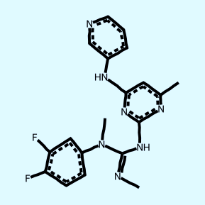 C/N=C(\Nc1nc(C)cc(Nc2cccnc2)n1)N(C)c1ccc(F)c(F)c1